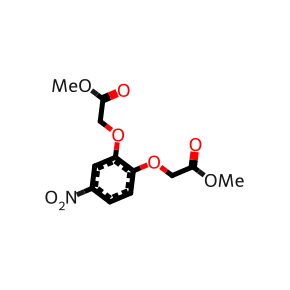 COC(=O)COc1ccc([N+](=O)[O-])cc1OCC(=O)OC